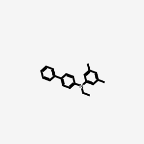 CCN(c1ccc(-c2ccccc2)cc1)c1cc(C)cc(C)c1